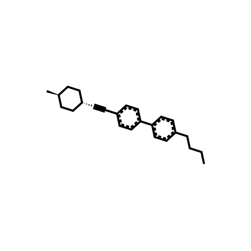 CCCCc1ccc(-c2ccc(C#C[C@H]3CC[C@H](C)CC3)cc2)cc1